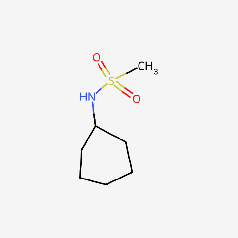 CS(=O)(=O)NC1CCCCC1